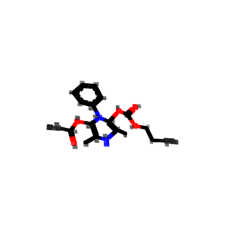 COCCOC(=O)OC1=C(C)NC(C)=C(OC(=O)OC)N1c1ccccc1